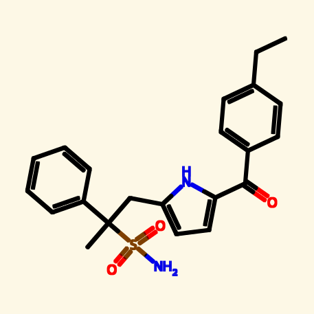 CCc1ccc(C(=O)c2ccc(CC(C)(c3ccccc3)S(N)(=O)=O)[nH]2)cc1